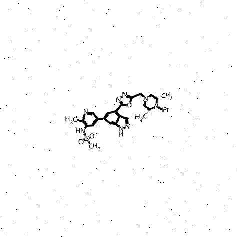 Cc1ncc(-c2cc(-c3nnc(CN4C[C@@H](C)N(C(C)C)[C@@H](C)C4)o3)c3cn[nH]c3c2)cc1NS(C)(=O)=O